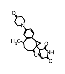 C=C1CCC(C)c2cc(N3CCC(=O)CC3)ccc2C2CC12C1CCC(=O)NC1=O